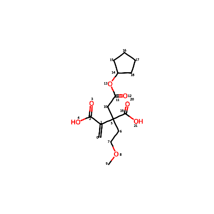 C=C(C(=O)O)C(CCOC)(CC(=O)OC1CCCC1)C(=O)O